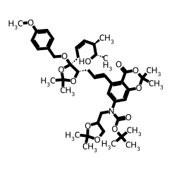 COc1ccc(CO[C@]2(C/C=C\[C@@H](C)[C@H](C)O)OC(C)(C)O[C@H]2C/C=C/c2cc(N(CC3COC(C)(C)O3)C(=O)OC(C)(C)C)cc3c2C(=O)OC(C)(C)O3)cc1